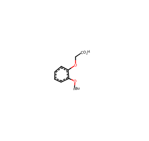 CCCCOc1ccccc1OCC(=O)O